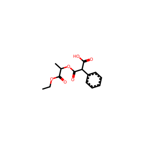 CCOC(=O)C(C)OC(=O)C(C(=O)O)c1ccccc1